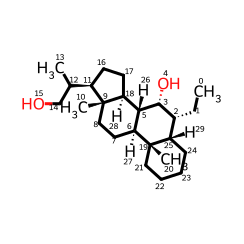 CC[C@H]1[C@@H](O)[C@@H]2[C@H](CC[C@]3(C)[C@@H](C(C)CO)CC[C@@H]23)[C@@]2(C)CCCC[C@@H]12